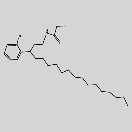 CCCCCCCCCCCCCCCC(CCNC(=O)CC)c1ccccc1O